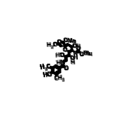 C=CC[C@]1(C(=O)OC)C[C@H](O)[C@@H](NC(=O)OC(C)(C)C)[C@H]([C@H](O)[C@H](O)CNC(=O)c2cc(C)c(O)c(C)c2)O1